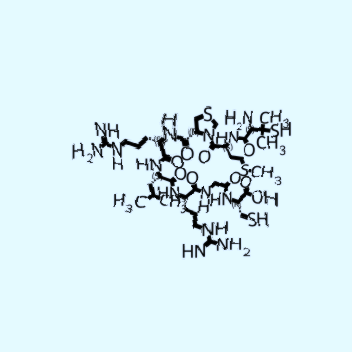 CSCC[C@H](NC(=O)[C@H](N)C(C)(C)S)C(=O)N1CSC[C@H]1C(=O)N[C@@H](CCCNC(=N)N)C(=O)N[C@@H](CC(C)C)C(=O)N[C@@H](CCCNC(=N)N)C(=O)NCC(=O)N[C@@H](CS)C(=O)O